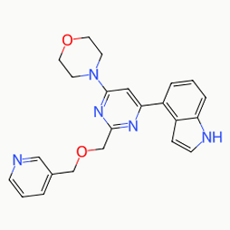 c1cncc(COCc2nc(-c3cccc4[nH]ccc34)cc(N3CCOCC3)n2)c1